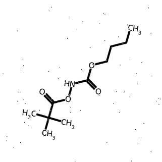 CCCCOC(=O)NOC(=O)C(C)(C)C